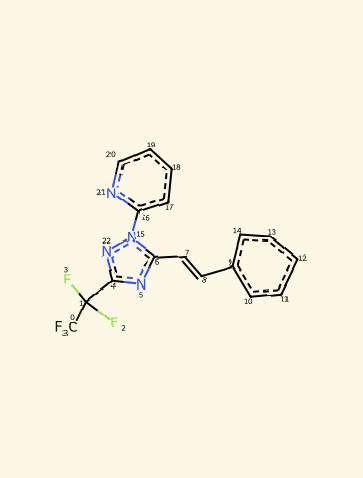 FC(F)(F)C(F)(F)c1nc(C=Cc2ccccc2)n(-c2ccccn2)n1